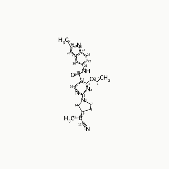 CCOc1nc(N2CCC(B(C)C#N)C2)ncc1C(=O)Nc1ccc2nc(C)cn2c1